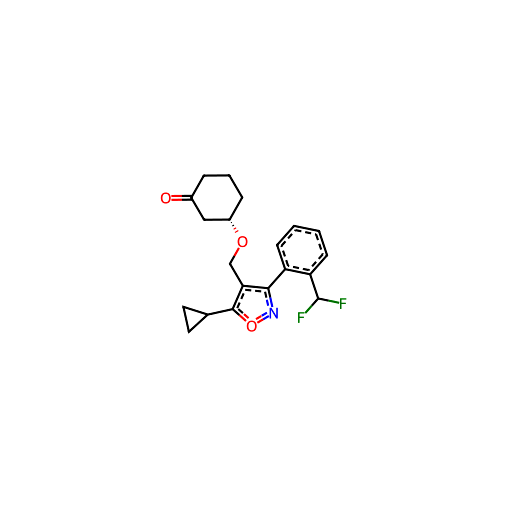 O=C1CCC[C@H](OCc2c(-c3ccccc3C(F)F)noc2C2CC2)C1